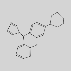 Fc1ccccc1C(c1ccc(C2CCCCC2)cc1)n1ccnc1